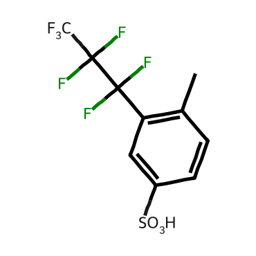 Cc1ccc(S(=O)(=O)O)cc1C(F)(F)C(F)(F)C(F)(F)F